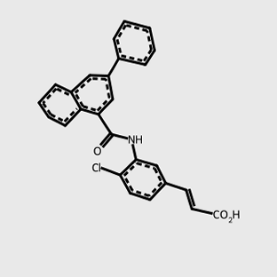 O=C(O)C=Cc1ccc(Cl)c(NC(=O)c2cc(-c3ccccc3)cc3ccccc23)c1